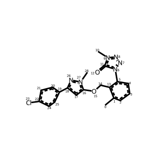 Cc1cccc(-n2nnn(C)c2=O)c1COc1cc(-c2ccc(Cl)cc2)nn1C